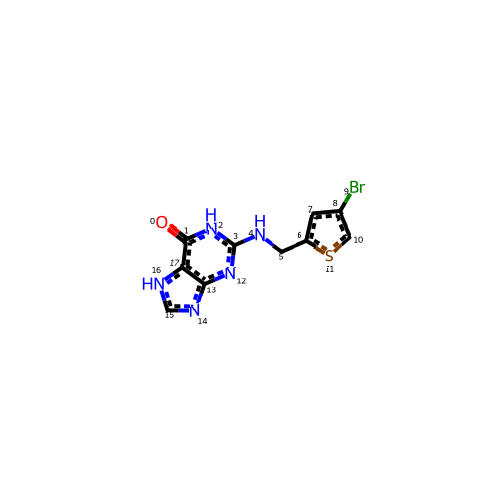 O=c1[nH]c(NCc2cc(Br)cs2)nc2nc[nH]c12